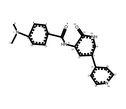 CN(C)c1ccc(C(=O)Nc2cc(-c3ccncc3)c[nH]c2=O)cc1